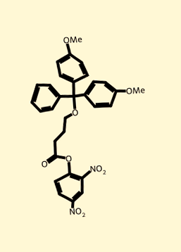 COc1ccc(C(OCCCC(=O)Oc2ccc([N+](=O)[O-])cc2[N+](=O)[O-])(c2ccccc2)c2ccc(OC)cc2)cc1